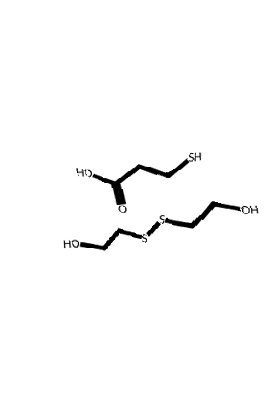 O=C(O)CCS.OCCSSCCO